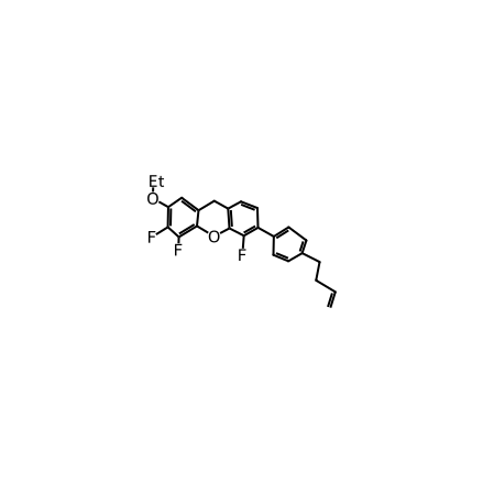 C=CCCc1ccc(-c2ccc3c(c2F)Oc2c(cc(OCC)c(F)c2F)C3)cc1